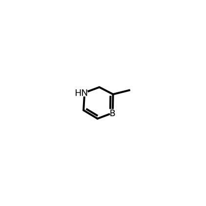 CC1=BC=CNC1